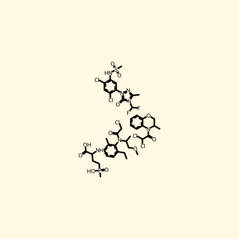 CC1COc2ccccc2N1C(=O)C(Cl)Cl.CCc1cccc(C)c1N(C(=O)CCl)C(C)COC.CP(=O)(O)CCC(N)C(=O)O.Cc1nn(-c2cc(NS(C)(=O)=O)c(Cl)cc2Cl)c(=O)n1C(F)F